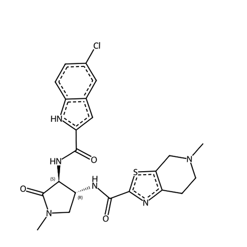 CN1CCc2nc(C(=O)N[C@@H]3CN(C)C(=O)[C@H]3NC(=O)c3cc4cc(Cl)ccc4[nH]3)sc2C1